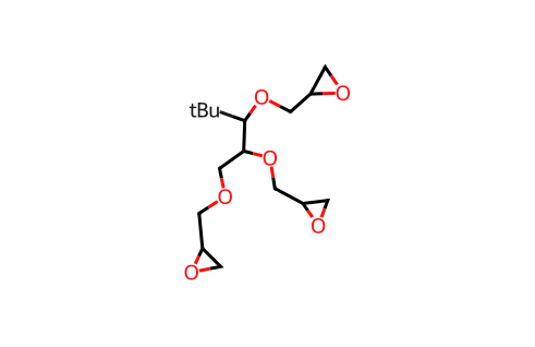 CC(C)(C)C(OCC1CO1)C(COCC1CO1)OCC1CO1